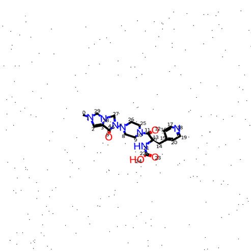 CN1C=C2C(=O)N(N3CCN(C(=O)[C@@H](Cc4ccncc4)NC(=O)O)CC3)CN2C1